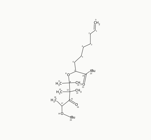 C=CCCCCCC(OC(C)(C)C(C)(C)C(=O)C(C)OC(C)(C)C)C(=O)C(C)(C)C